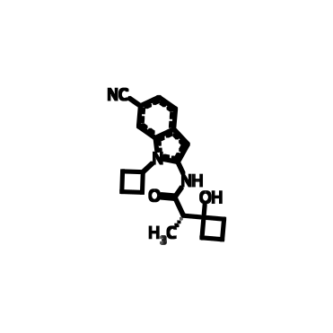 C[C@H](C(=O)Nc1cc2ccc(C#N)cc2n1C1CCC1)C1(O)CCC1